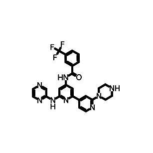 O=C(Nc1cc(Nc2cnccn2)nc(-c2ccnc(N3CCNCC3)c2)c1)c1cccc(C(F)(F)F)c1